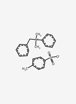 C[N+](C)(Cc1ccccc1)c1ccccc1.Cc1ccc(S(=O)(=O)[O-])cc1